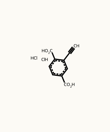 C#Cc1cc(C(=O)O)ccc1C(=O)O.Cl.Cl